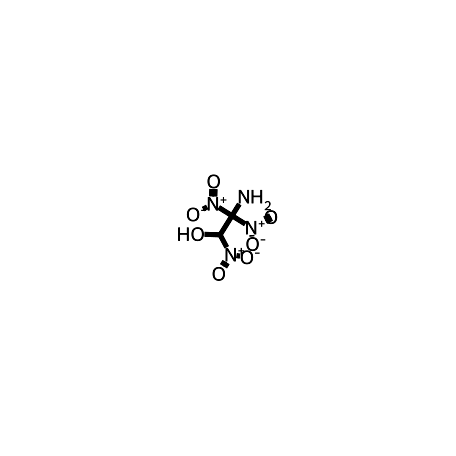 NC(C(O)[N+](=O)[O-])([N+](=O)[O-])[N+](=O)[O-]